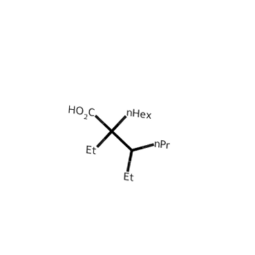 CCCCCCC(CC)(C(=O)O)C(CC)CCC